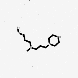 CCOCCCN(C)CCCN1CCNCC1